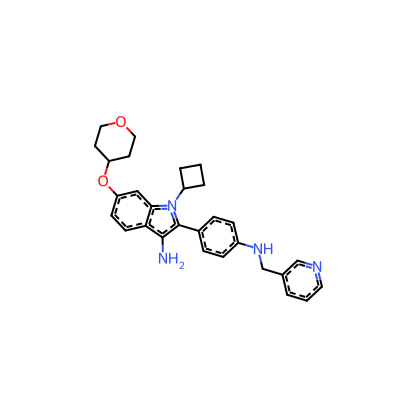 Nc1c(-c2ccc(NCc3cccnc3)cc2)n(C2CCC2)c2cc(OC3CCOCC3)ccc12